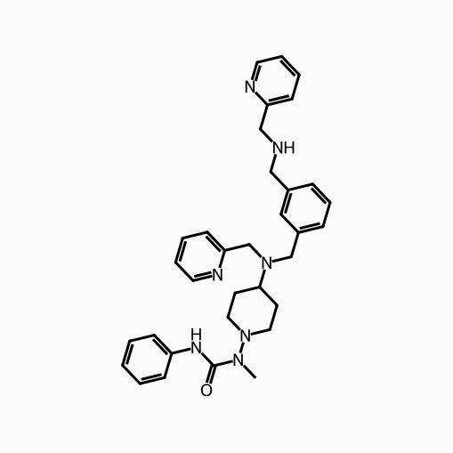 CN(C(=O)Nc1ccccc1)N1CCC(N(Cc2cccc(CNCc3ccccn3)c2)Cc2ccccn2)CC1